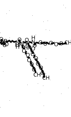 C#CCOCCOCCOCCOCCOCCC(=O)NCCN(CCNC(=O)CCOCCOCCOCCOCCOCC#C)C(=O)CC[C@H](NC(=O)CCOCCOCCOCCOCCOCC#C)C(=O)NCCCCCC(=O)ON1C(=O)CCC1=O